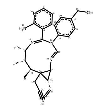 C[C@@H]1[C@H](C)/N=C(/c2cccnc2N)N(c2ccc(CCl)cc2)/C=N/C2[C@H](C=N)C2(CC#N)[C@H]1C